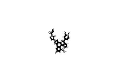 C=CC(=O)N1CCC(n2cc(-c3nc(-c4ccn(C)c(=O)c4)c4ccsc4c3-c3c(F)cc(F)cc3OC(C)C)cn2)C1